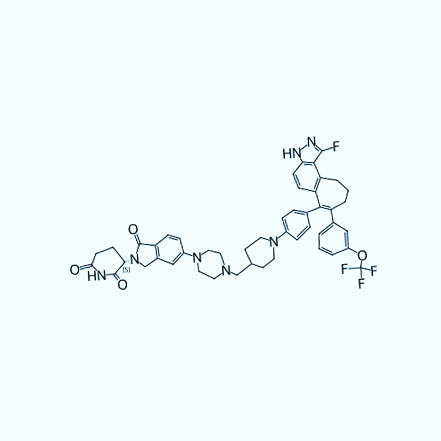 O=C1CC[C@H](N2Cc3cc(N4CCN(CC5CCN(c6ccc(C7=C(c8cccc(OC(F)(F)F)c8)CCCc8c7ccc7[nH]nc(F)c87)cc6)CC5)CC4)ccc3C2=O)C(=O)N1